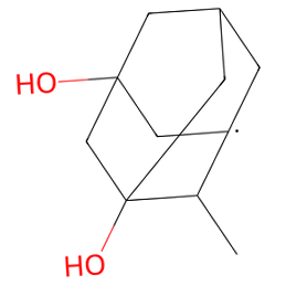 CC1[C]2CC3CC(O)(C2)CC1(O)C3